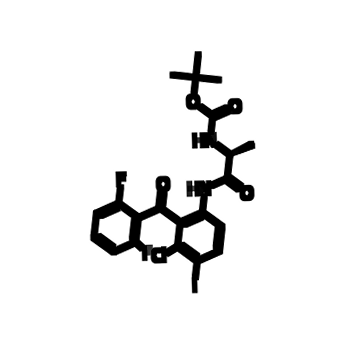 C[C@H](NC(=O)OC(C)(C)C)C(=O)Nc1ccc(I)c(Cl)c1C(=O)c1c(F)cccc1F